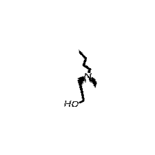 CCCCN(C)CCO